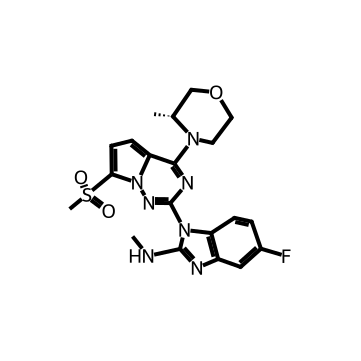 CNc1nc2cc(F)ccc2n1-c1nc(N2CCOC[C@H]2C)c2ccc(S(C)(=O)=O)n2n1